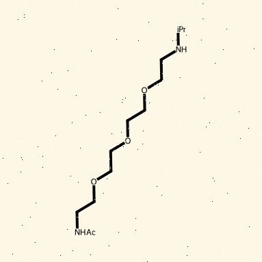 CC(=O)NCCOCCOCCOCCNC(C)C